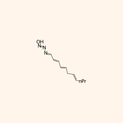 CCCC=CCC=CC=CC=NN=NO